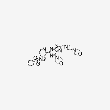 O=S(=O)(c1ccccc1)n1ccc2c(-c3nc(N4CCOCC4)c4nc(CN5CC(N6CCOCC6)C5)sc4n3)nccc21